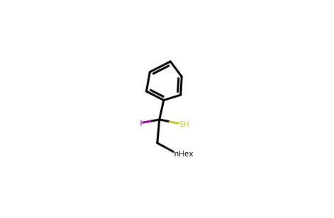 CCCCCCCC(S)(I)c1ccccc1